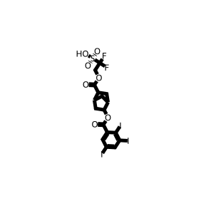 O=C(OC1CC2CC1CC2C(=O)OCC(F)(F)S(=O)(=O)O)c1cc(I)cc(I)c1I